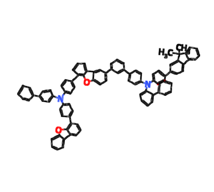 CC1(C)c2ccccc2-c2ccc(-c3ccc(N(c4ccc(-c5cccc(-c6ccc7oc8c(-c9ccc(N(c%10ccc(-c%11ccccc%11)cc%10)c%10ccc(-c%11cccc%12c%11oc%11ccccc%11%12)cc%10)cc9)cccc8c7c6)c5)cc4)c4ccccc4-c4ccccc4)cc3)cc21